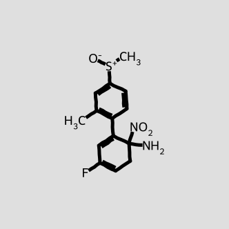 Cc1cc([S+](C)[O-])ccc1C1=CC(F)=CCC1(N)[N+](=O)[O-]